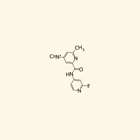 [C-]#[N+]c1cc(C)nc(C(=O)Nc2ccnc(F)c2)c1